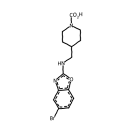 O=C(O)N1CCC(CNc2nc3cc(Br)ccc3o2)CC1